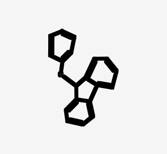 [c]1ccc(OC2c3ccccc3-c3ccccc32)cc1